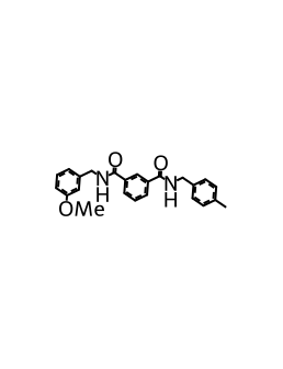 COc1cccc(CNC(=O)c2cccc(C(=O)NCc3ccc(C)cc3)c2)c1